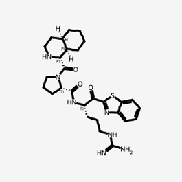 N=C(N)NCCC[C@H](NC(=O)[C@@H]1CCCN1C(=O)[C@@H]1NCC[C@H]2CCCC[C@H]21)C(=O)c1nc2ccccc2s1